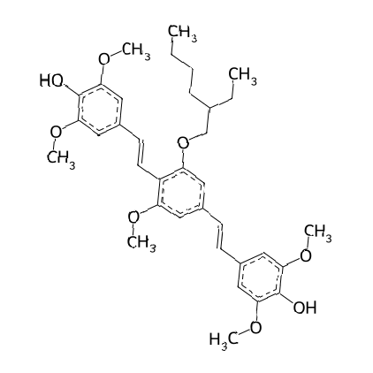 CCCCC(CC)COc1cc(C=Cc2cc(OC)c(O)c(OC)c2)cc(OC)c1C=Cc1cc(OC)c(O)c(OC)c1